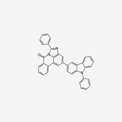 O=c1c2ccccc2c2cc(-c3ccc4c(c3)c3ccccc3n4-c3ccccc3)cc3nc(-c4ccccc4)n1c32